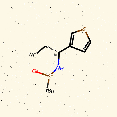 CC(C)(C)[S+]([O-])N[C@H](CC#N)c1ccsc1